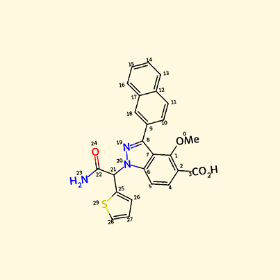 COc1c(C(=O)O)ccc2c1c(-c1ccc3ccccc3c1)nn2C(C(N)=O)c1cccs1